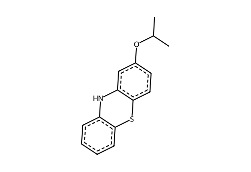 CC(C)Oc1ccc2c(c1)Nc1ccccc1S2